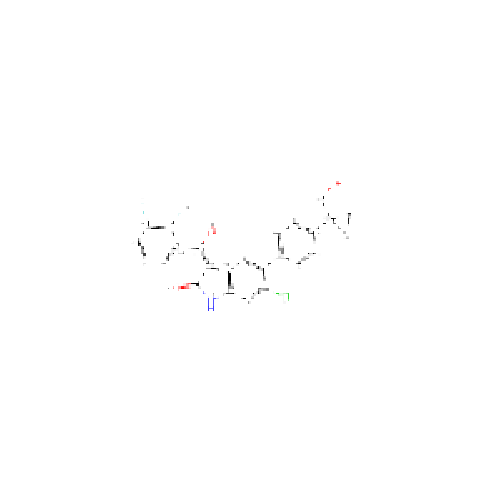 O=C1Nc2cc(Cl)c(-c3ccc(C4(CO)CC4)cc3)cc2C1=C(O)c1cccc(F)c1F